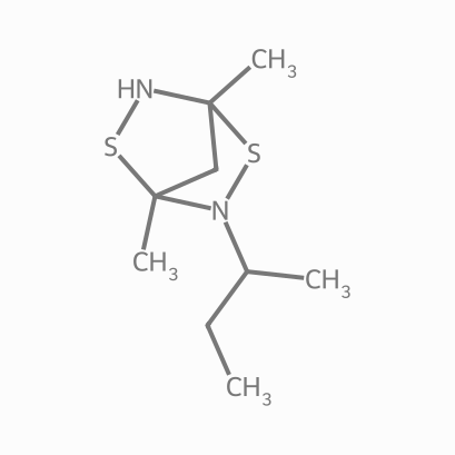 CCC(C)N1SC2(C)CC1(C)SN2